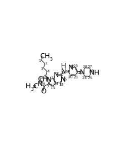 CCCCCCn1c(C(=O)N(C)C)cc2cnc(Nc3ccc(N4CCNCC4)cn3)nc21